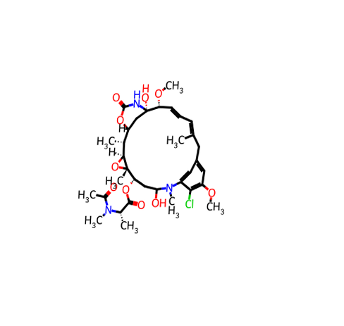 COc1cc2cc(c1Cl)N(C)C(O)C[C@H](OC(=O)[C@H](C)N(C)C(C)=O)[C@]1(C)O[C@H]1[C@H](C)[C@@H]1C[C@@](O)(NC(=O)O1)[C@H](OC)/C=C/C=C(\C)C2